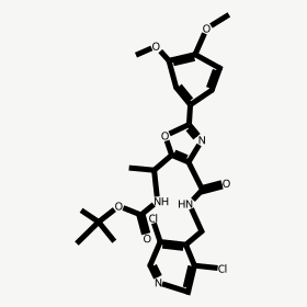 COc1ccc(-c2nc(C(=O)NCc3c(Cl)cncc3Cl)c(C(C)NC(=O)OC(C)(C)C)o2)cc1OC